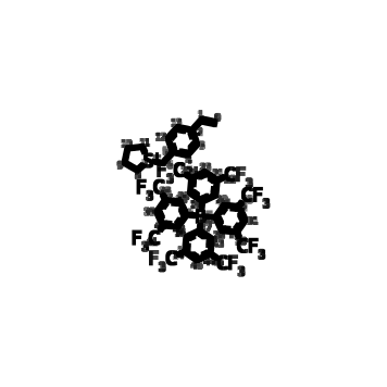 C=Cc1ccc(C[S+]2CCCC2)cc1.FC(F)(F)c1cc([B-](c2cc(C(F)(F)F)cc(C(F)(F)F)c2)(c2cc(C(F)(F)F)cc(C(F)(F)F)c2)c2cc(C(F)(F)F)cc(C(F)(F)F)c2)cc(C(F)(F)F)c1